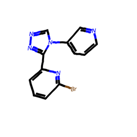 Brc1cccc(-c2nncn2-c2cccnc2)n1